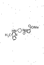 COC(=O)c1cccc(C(=O)N[C@H]2CC[C@@H](Nc3cc(C)c4ccccc4n3)CC2)c1